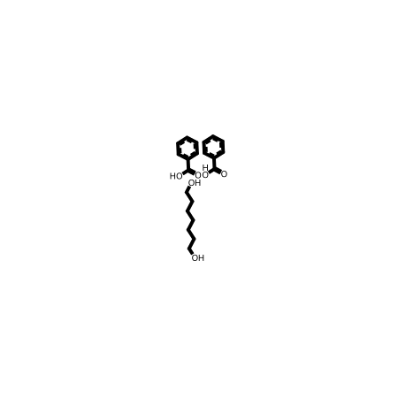 O=C(O)c1ccccc1.O=C(O)c1ccccc1.OCCCCCCCO